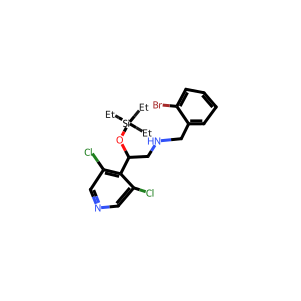 CC[Si](CC)(CC)OC(CNCc1ccccc1Br)c1c(Cl)cncc1Cl